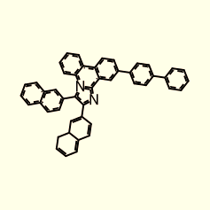 C1=CCC2C=C(c3nc4c5cc(-c6ccc(-c7ccccc7)cc6)ccc5c5ccccc5n4c3-c3ccc4ccccc4c3)C=CC2=C1